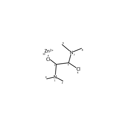 CN(C)C(Cl)C(Cl)N(C)C.[Zn+2]